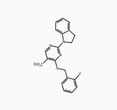 CCOC(=O)c1cnc(N2CCc3ccccc32)nc1OCc1ccccc1F